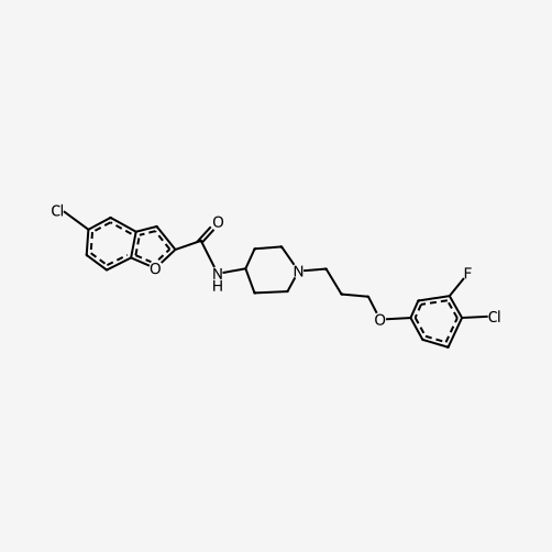 O=C(NC1CCN(CCCOc2ccc(Cl)c(F)c2)CC1)c1cc2cc(Cl)ccc2o1